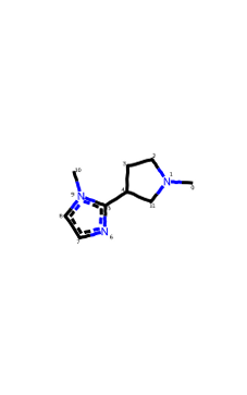 CN1CCC(c2nccn2C)C1